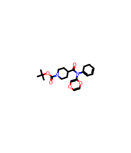 CC(C)(C)OC(=O)N1CCC(C(=O)N(C2=CC=CCC2)C2=COC=CO2)CC1